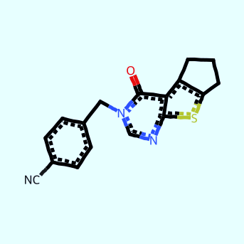 N#Cc1ccc(Cn2cnc3sc4c(c3c2=O)CCC4)cc1